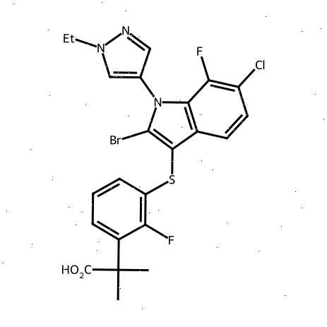 CCn1cc(-n2c(Br)c(Sc3cccc(C(C)(C)C(=O)O)c3F)c3ccc(Cl)c(F)c32)cn1